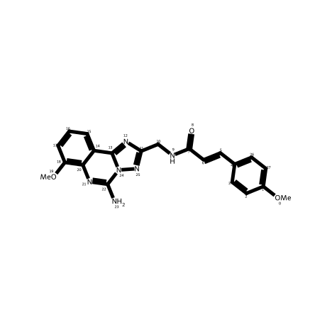 COc1ccc(C=CC(=O)NCc2nc3c4cccc(OC)c4nc(N)n3n2)cc1